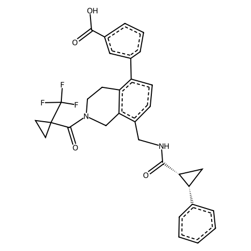 O=C(O)c1cccc(-c2ccc(CNC(=O)[C@@H]3C[C@@H]3c3ccccc3)c3c2CCN(C(=O)C2(C(F)(F)F)CC2)C3)c1